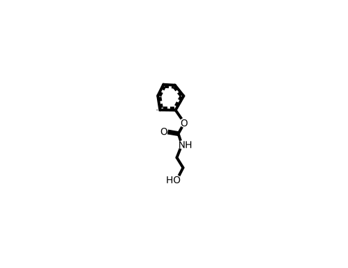 O=C(NCCO)Oc1[c]cccc1